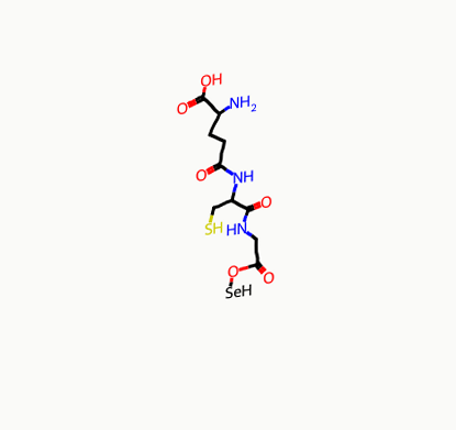 NC(CCC(=O)NC(CS)C(=O)NCC(=O)O[SeH])C(=O)O